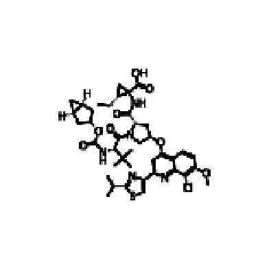 CC[C@@H]1C[C@]1(NC(=O)[C@@H]1C[C@@H](Oc2cc(-c3csc(C(C)C)n3)nc3c(Cl)c(OC)ccc23)CN1C(=O)[C@@H](NC(=O)O[C@H]1C[C@@H]2C[C@@H]2C1)C(C)(C)C)C(=O)O